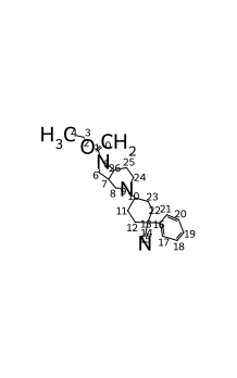 C=C(OCC)N1CC2CN(C3CCC(C#N)(c4ccccc4)CC3)CCC21